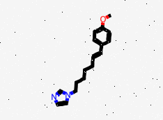 COc1ccc(/C=C/CCCCCn2ccnc2)cc1